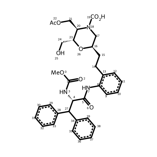 COC(=O)N[C@H](C(=O)Nc1ccccc1CC[C@@H]1CN(C(=O)O)[C@H](COC(C)=O)[C@@H](CO)O1)C(c1ccccc1)c1ccccc1